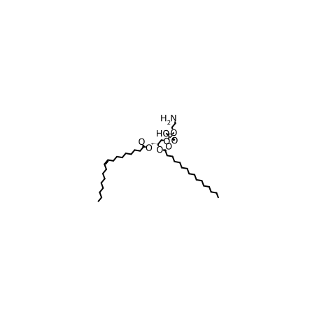 CCCCCCCC/C=C\CCCCCCCC(=O)OC[C@H](COP(=O)(O)OCCN)OC(=O)CCCCCCCCCCCCCCC